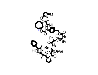 CC[C@H](C)[C@@H]([C@@H](CC(=O)N1CCC[C@H]1[C@H](OC)[C@@H](C)C(=O)N[C@H](C)[C@@H](O)c1ccccc1)OC)N(C)C(=O)[C@@H](NC(=O)[C@H](C(C)C)N(C)C(=O)OCc1ccc(NC(=O)O/C2=C/CCCCCC2)c(NCC(=O)ON2C(=O)CCC2=O)c1)C(C)C